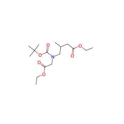 CCOC(=O)CC(C)CN(CC(=O)OCC)C(=O)OC(C)(C)C